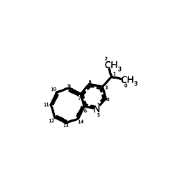 CC(C)c1cnc2/c(c1)=C\C=C/C=C\C=2